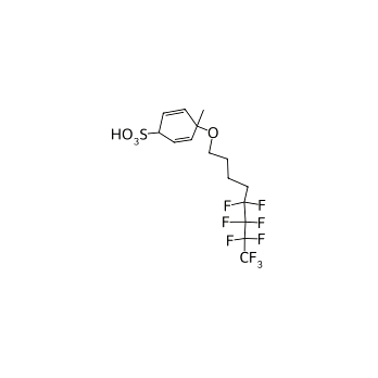 CC1(OCCCCC(F)(F)C(F)(F)C(F)(F)C(F)(F)F)C=CC(S(=O)(=O)O)C=C1